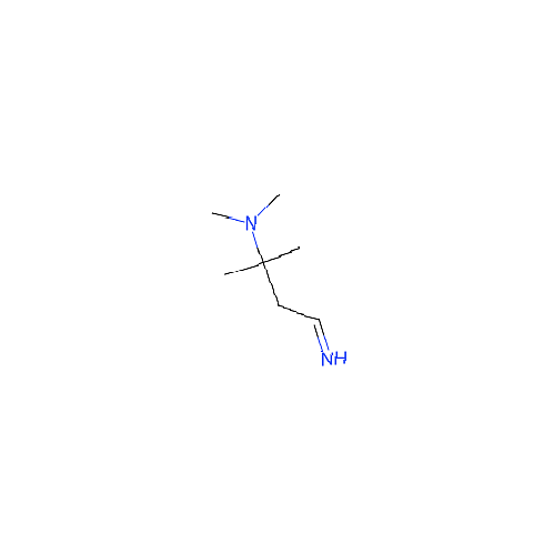 CN(C)C(C)(C)CC=N